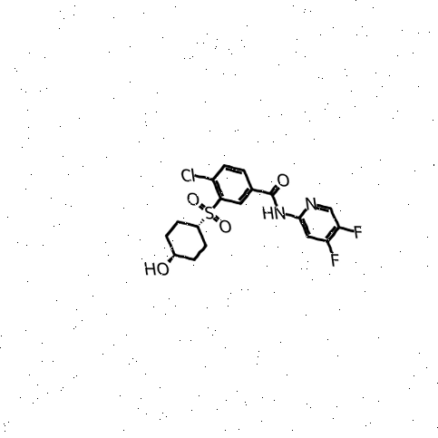 O=C(Nc1cc(F)c(F)cn1)c1ccc(Cl)c(S(=O)(=O)[C@H]2CC[C@H](O)CC2)c1